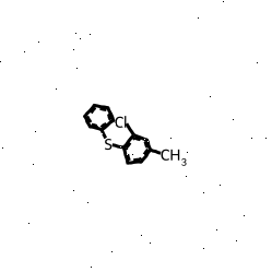 Cc1ccc(Sc2ccccc2)c(Cl)c1